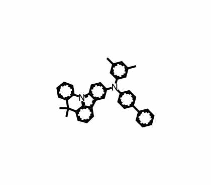 Cc1cc(C)cc(N(c2ccc(-c3ccccc3)cc2)c2ccc3c(c2)c2cccc4c2n3-c2ccccc2C4(C)C)c1